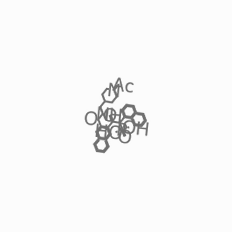 CC(=O)N1CCC(CNC(=O)c2cc3ccccc3cc2C(=O)C(c2cccc3ccccc23)P(=O)(O)O)CC1